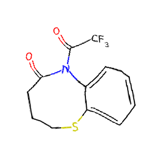 O=C1CCCSc2ccccc2N1C(=O)C(F)(F)F